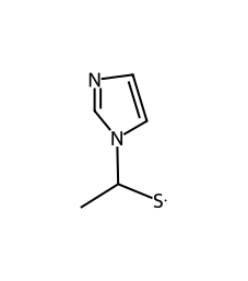 CC([S])n1ccnc1